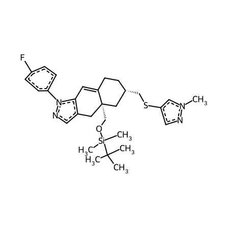 Cn1cc(SC[C@H]2CCC3=Cc4c(cnn4-c4ccc(F)cc4)C[C@]3(CO[Si](C)(C)C(C)(C)C)C2)cn1